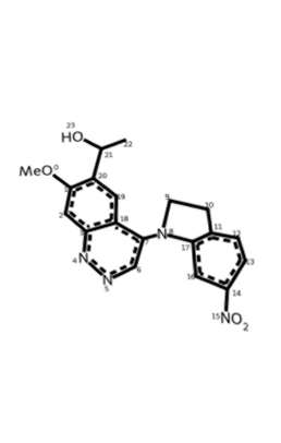 COc1cc2nncc(N3CCc4ccc([N+](=O)[O-])cc43)c2cc1C(C)O